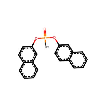 CC(C)P(=O)(Oc1ccc2ccccc2c1)Oc1ccc2ccccc2c1